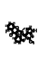 COc1nc(N[C@@H](C)c2oc3cccc(F)c3c(=O)c2-c2cccc(F)c2)c2nc[nH]c2n1